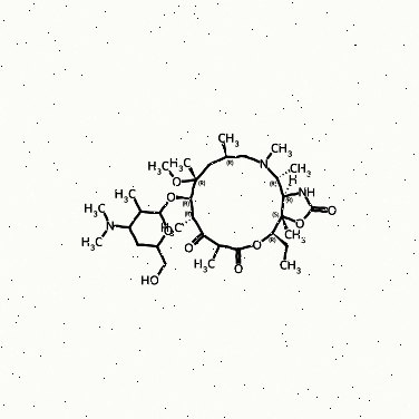 CC[C@H]1OC(=O)C(C)C(=O)[C@H](C)[C@@H](OC2OC(CO)CC(N(C)C)C2C)[C@](C)(OC)C[C@@H](C)CN(C)[C@H](C)[C@H]2NC(=O)O[C@@]21C